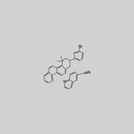 CC1(C)CC(c2cccc(Br)c2)Cc2ccc3c(ccc4ccccc43)c21.N#Cc1ccc2ncccc2c1